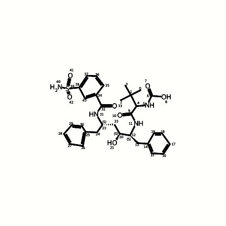 CC(C)(C)C(NC(=O)O)C(=O)N[C@@H](Cc1ccccc1)[C@@H](O)C[C@H](Cc1ccccc1)NC(=O)c1cccc(S(N)(=O)=O)c1